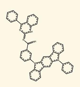 N=C(/N=c1/nc(-c2ccccc2)c2ccccc2[nH]1)c1cccc(-n2c3ccccc3c3cc4c(cc32)c2ccccc2n4-c2ccccc2)c1